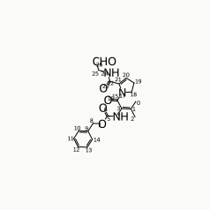 CC(C)=C(NC(=O)OCc1ccccc1)C(=O)N1CCC=C1C(=O)NCC=O